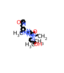 C=CCn1c(=O)c2cnc(NC3C=CC(CC4C(=O)C5CCN4CC5)=CC3C)nc2n1-c1cccc(C(C)(C)O)n1